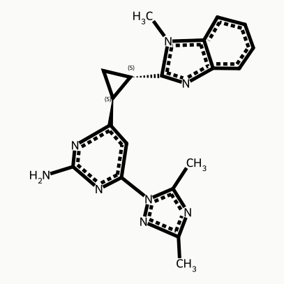 Cc1nc(C)n(-c2cc([C@H]3C[C@@H]3c3nc4ccccc4n3C)nc(N)n2)n1